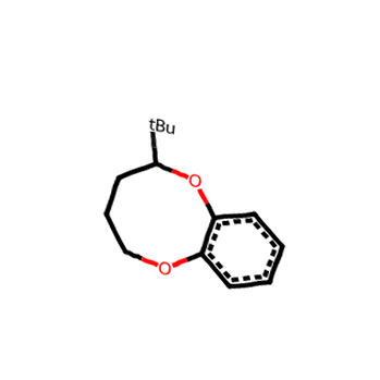 CC(C)(C)C1CCCOc2ccccc2O1